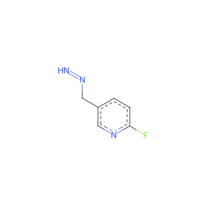 N=NCc1ccc(F)nc1